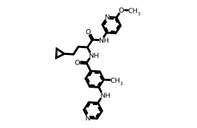 COc1ccc(NC(=O)C(CCC2CC2)NC(=O)c2ccc(Nc3ccncc3)c(C)c2)cn1